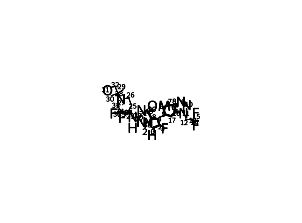 [2H]c1c(F)c(-c2ccc3nnn(CC(F)F)c3c2)c2c(OC)nc(N[C@@H]3CCN(C4(C)COC4)CC3(F)F)nn12